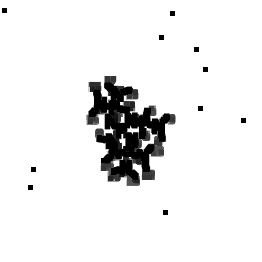 CN=P(N=P(C)(C)N(C)C)(N=P(C)(N(C)C)N(C)C)N=P(N(C)C)(N(C)C)N(C)C